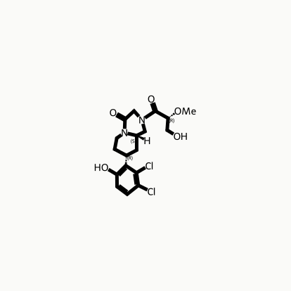 CO[C@H](CO)C(=O)N1CC(=O)N2CC[C@@H](c3c(O)ccc(Cl)c3Cl)C[C@H]2C1